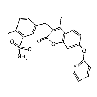 Cc1c(Cc2ccc(F)c(S(N)(=O)=O)c2)c(=O)oc2cc(Oc3ncccn3)ccc12